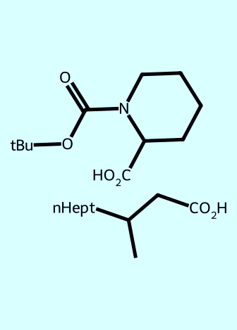 CC(C)(C)OC(=O)N1CCCCC1C(=O)O.CCCCCCCC(C)CC(=O)O